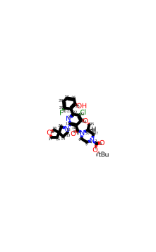 CC(C)(C)OC(=O)N1CCN2C(=O)c3c(N4CCC5(CCOC5)C4)nc(-c4c(O)cccc4F)c(Cl)c3OC[C@H]2C1